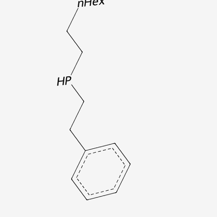 CCCCCCCCPCCc1ccccc1